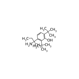 CCC(C)(N)c1ccc(C(C)(C)C)c(O)c1C(C)(C)C